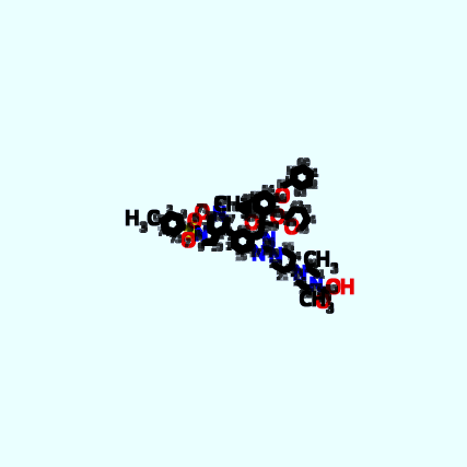 Cc1ccc(S(=O)(=O)n2ccc3c(-c4ccc5nc(N6CCC(N7C[C@@H](C)N(C(=O)O)C[C@@H]7C)CC6)nc([C@](COC6CCCCO6)(OC6CC6)c6cccc(OCc7ccccc7)c6)c5c4)cn(C)c(=O)c32)cc1